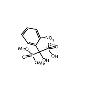 COP(=O)(OC)C(O)(c1ccccc1[N+](=O)[O-])P(=O)(O)O